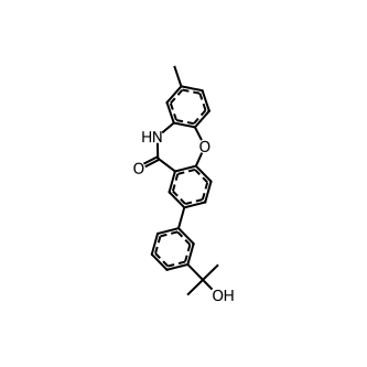 Cc1ccc2c(c1)NC(=O)c1cc(-c3cccc(C(C)(C)O)c3)ccc1O2